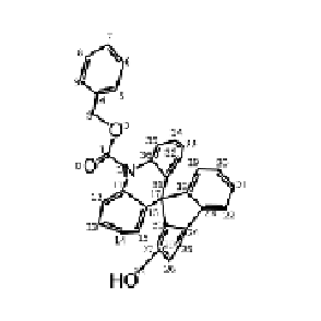 O=C(OCc1ccccc1)N1c2ccccc2C2(c3ccccc3-c3ccc(O)cc32)c2ccccc21